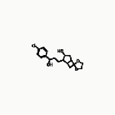 OC(CCC1C(O)CC2C1CC21OCCO1)c1ccc(Cl)cc1